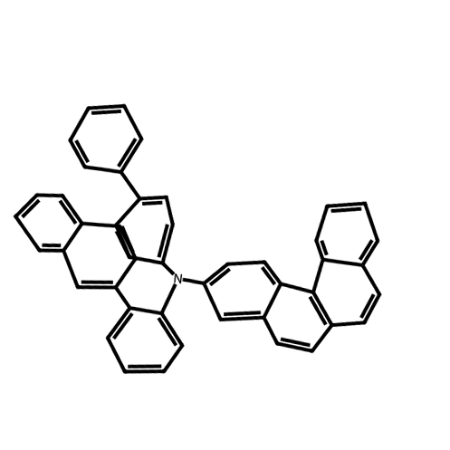 c1ccc(-c2ccc(N(c3ccc4c(ccc5ccc6ccccc6c54)c3)c3ccccc3-c3ccc4ccccc4c3)cc2)cc1